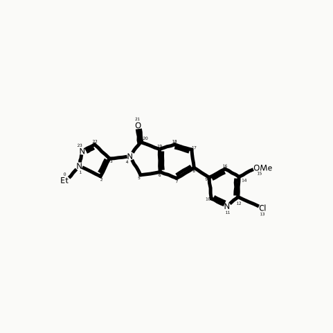 CCn1cc(N2Cc3cc(-c4cnc(Cl)c(OC)c4)ccc3C2=O)cn1